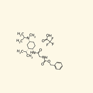 CC(C)[C@@H]1C[C@H](N(C)C(C)C)CC[C@@H]1NC(=O)CNC(=O)OCc1ccccc1.O=C(O)C(F)(F)F